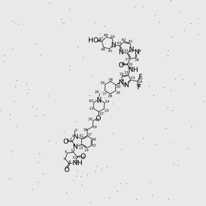 Cn1c(=O)n(C2CCC(=O)NC2=O)c2cccc(CCCOC3CCN(C[C@H]4CC[C@H](n5cc(NC(=O)c6cnn7ccc(N8CCC(O)CC8)nc67)c(C(F)F)n5)CC4)CC3)c21